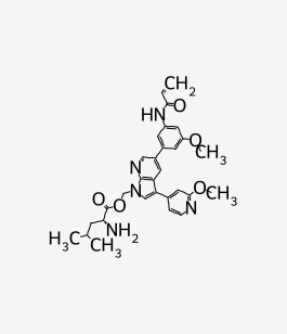 C=CC(=O)Nc1cc(OC)cc(-c2cnc3c(c2)c(-c2ccnc(OC)c2)cn3COC(=O)[C@@H](N)CC(C)C)c1